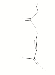 C=C(Cl)C=COC(=O)CC